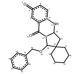 O=C1c2cc(=O)ccn2NC2CC3(CCCCC3)C(OCc3ccccc3)N12